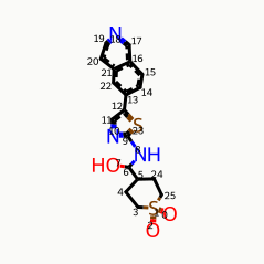 O=S1(=O)CCC(C(O)Nc2ncc(-c3ccc4cnccc4c3)s2)CC1